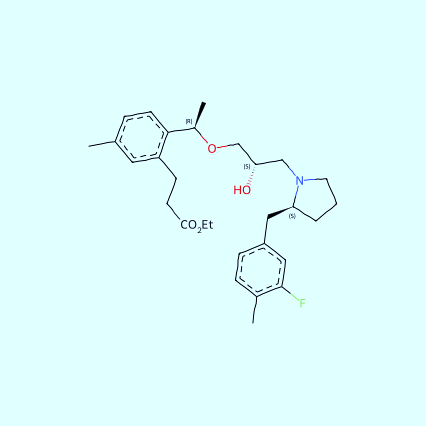 CCOC(=O)CCc1cc(C)ccc1[C@@H](C)OC[C@@H](O)CN1CCC[C@H]1Cc1ccc(C)c(F)c1